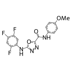 COc1ccc(NC(=O)c2nnc(Nc3cc(F)c(F)cc3F)o2)cc1